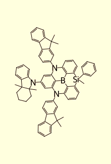 CC1(C)c2ccccc2-c2ccc(N3c4cc(N5c6ccccc6C6(C)CCCCC56C)cc5c4B4c6c3cccc6[Si](C)(c3ccccc3)c3cccc(c34)N5c3ccc4c(c3)C(C)(C)c3ccccc3-4)cc21